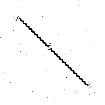 CCCCCCCCC=CCCCCCCCCCCCC(=O)OCCCCCCCCCCCCCCCCCCCCCCCCCCC(=O)O